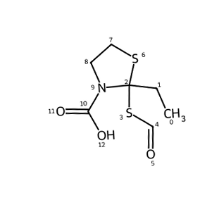 CCC1(SC=O)SCCN1C(=O)O